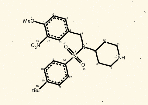 COc1ccc(CN(C2CCNCC2)S(=O)(=O)c2ccc(C(C)(C)C)cc2)cc1[N+](=O)[O-]